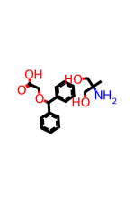 CC(N)(CO)CO.O=C(O)COC(c1ccccc1)c1ccccc1